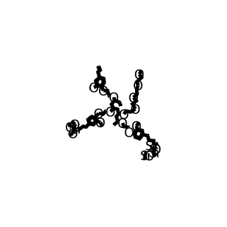 C=CCc1ccc(OCCOC(CC)CC(CC(CC(C)OCCOc2ccc(CCC[Si](C)(C)O[Si](C)(C)O[Si](C)(C)C)cc2OC)OCCOCCOCCOCCOC)OCCOc2ccc(CCC[Si](OC)(OC)OC)cc2OC)c(OC)c1